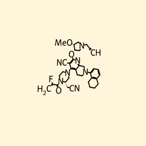 C#CCN1C[C@@H](OC)[C@H](Oc2nc3c(c(N4CCN(C(=O)C(=C)F)[C@@H](CC#N)C4)c2C#N)CCN(c2cccc4c2CCCC4)C3)C1